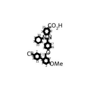 COc1ccc(-c2ccc(Cl)cc2)c(COc2ccc(-c3nc4cc(C(=O)O)ccc4n3C3CCCCC3)cc2)c1